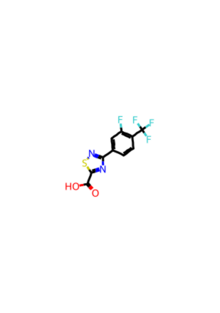 O=C(O)c1nc(-c2ccc(C(F)(F)F)c(F)c2)ns1